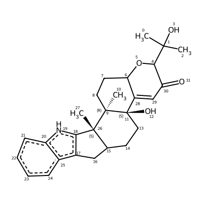 CC(C)(O)C1OC2CC[C@@]3(C)[C@@](O)(CCC4Cc5c([nH]c6ccccc56)[C@@]43C)C2=CC1=O